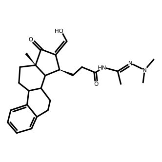 C/C(=N\N(C)C)NC(=O)CC[C@@H]1/C(=C/O)C(=O)[C@@]2(C)CCC3c4ccccc4CCC3C12